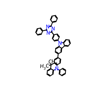 CC1(C)c2ccccc2N(c2ccccc2)c2ccc(-c3ccc4c(c3)c3ccccc3n4-c3ccc(-c4nc(-c5ccccc5)nc(-c5ccccc5)n4)cc3)cc21